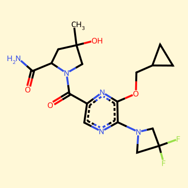 CC1(O)CC(C(N)=O)N(C(=O)c2cnc(N3CC(F)(F)C3)c(OCC3CC3)n2)C1